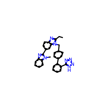 CCc1nc2ccc(-c3nc4ccccc4n3C)cc2n1Cc1ccc(-c2ccccc2-c2nnn[nH]2)cc1